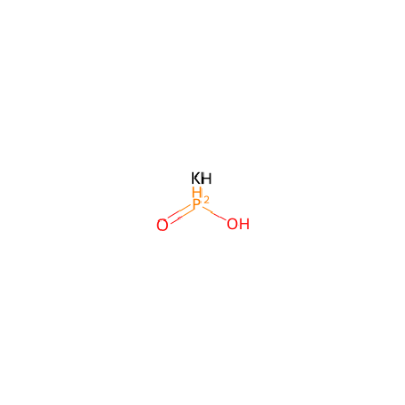 O=[PH2]O.[KH]